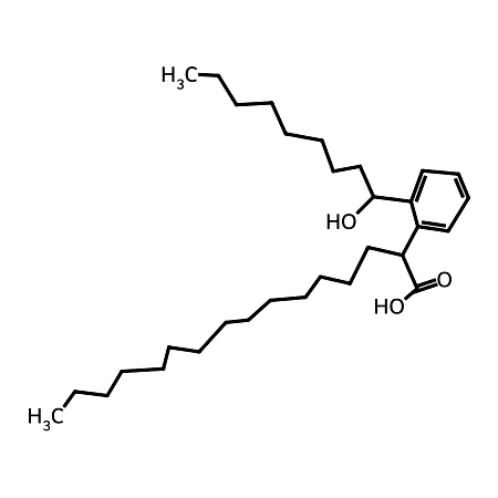 CCCCCCCCCCCCCCC(C(=O)O)c1ccccc1C(O)CCCCCCCC